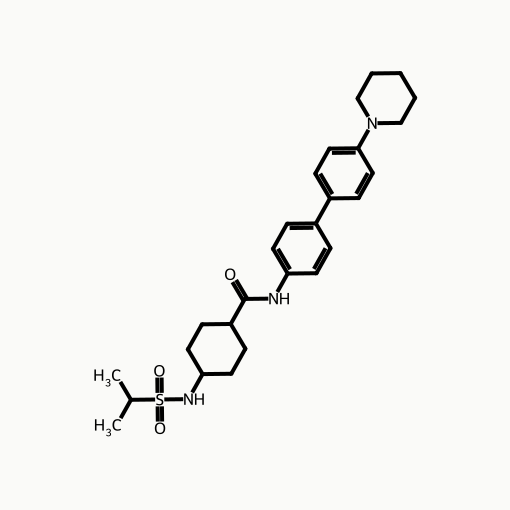 CC(C)S(=O)(=O)NC1CCC(C(=O)Nc2ccc(-c3ccc(N4CCCCC4)cc3)cc2)CC1